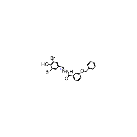 O=C(N/N=C/c1cc(Br)c(O)c(Br)c1)c1cccc(OCc2ccccc2)c1